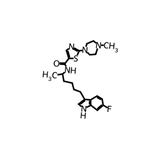 CC(CCCCc1c[nH]c2cc(F)ccc12)NC(=O)c1cnc(N2CCN(C)CC2)s1